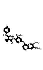 COc1cc(Oc2ccnc3cc(OC)c(OC)nc23)ncc1NC(=O)C1(C(=O)Nc2ccc(F)cc2)CC1